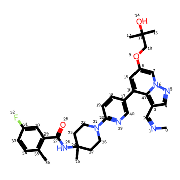 C/N=C\c1cnn2cc(OCC(C)(C)O)cc(-c3ccc(N4CCC(C)(NC(=O)c5cc(F)ccc5C)CC4)nc3)c12